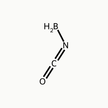 BN=C=O